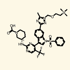 Cc1nc(-c2ccc3c(-c4nc(N[C@H]5CCCN(C(=O)O)C5)ncc4C(F)(F)F)cn(S(=O)(=O)c4ccccc4)c3c2)nn1COCC[Si](C)(C)C